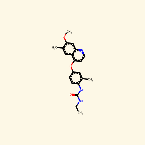 CCNC(=O)Nc1ccc(Oc2ccnc3cc(OC)c(C)cc23)cc1C